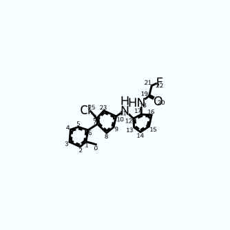 Cc1ccccc1-c1ccc(Nc2ccccc2NC(=O)CF)cc1Cl